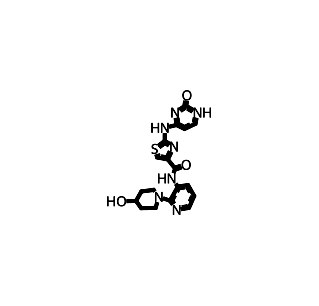 O=C(Nc1cccnc1N1CCC(O)CC1)c1csc(Nc2cc[nH]c(=O)n2)n1